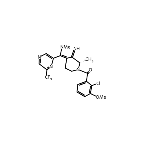 CN/C(=C1/CCN(C(=O)c2cccc(OC)c2Cl)[C@@H](C)C1=N)c1cncc(C(F)(F)F)n1